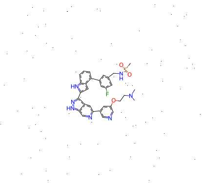 CN(C)CCOc1cncc(-c2cc3c(-c4cc5c(-c6cc(F)cc(CNS(C)(=O)=O)c6)cccc5[nH]4)n[nH]c3cn2)c1